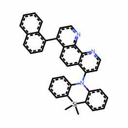 C[Si]1(C)c2ccccc2N(c2ccnc3c2ccc2c(-c4cccc5ccccc45)ccnc23)c2ccccc21